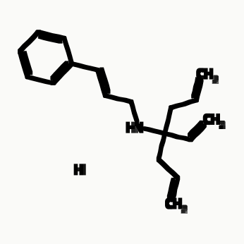 C=CCC(C=C)(CC=C)NCC=Cc1ccccc1.I